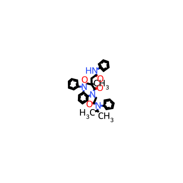 CC(C)N(C(=O)CN1C(=O)C(C)(CC(=O)Nc2ccccc2)C(=O)N(c2ccccc2)c2ccccc21)c1ccccc1